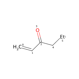 C=CC(=O)C[C]C